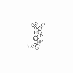 COC(=O)Oc1cc(Cl)cc2c1NC(c1cccc(NC(C)(C)C(=O)O)c1)C(C)(C)C2